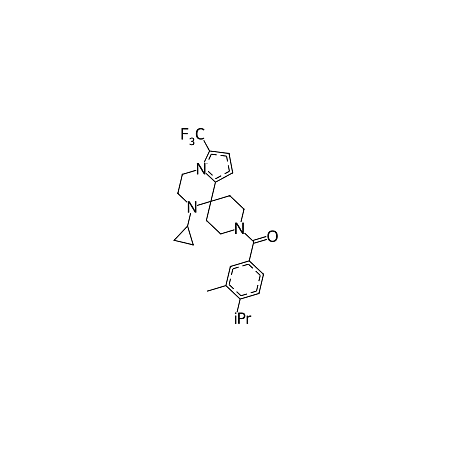 Cc1cc(C(=O)N2CCC3(CC2)c2ccc(C(F)(F)F)n2CCN3C2CC2)ccc1C(C)C